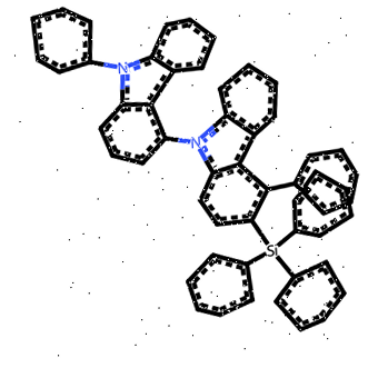 c1ccc(-c2c([Si](c3ccccc3)(c3ccccc3)c3ccccc3)ccc3c2c2ccccc2n3-c2cccc3c2c2ccccc2n3-c2ccccc2)cc1